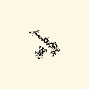 Cc1nc(C(=O)N2CCOC3(CCN(Cc4cccc(CCOCCC(N)=O)c4)CC3)C2)cs1.O=C(O)C(F)(F)F.O=C(O)C(F)(F)F